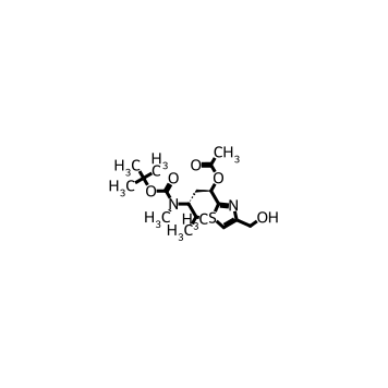 CC(=O)O[C@H](C[C@H](C(C)C)N(C)C(=O)OC(C)(C)C)c1nc(CO)cs1